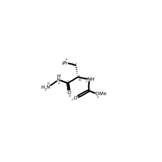 COC(=O)N[C@@H](CC(C)C)C(=O)NN